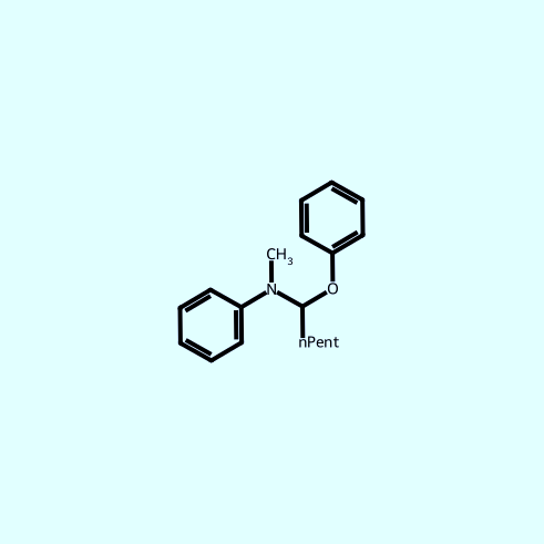 CCCCCC(Oc1ccccc1)N(C)c1ccccc1